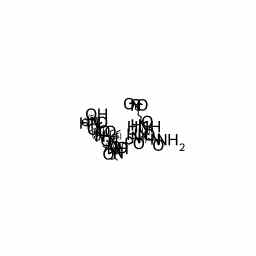 CC[C@H](C)[C@@H](C(CC(=O)N1CCC[C@H]1[C@H](OC)[C@@H](C)C(=O)N[C@H](C)[C@@H](O)c1ccccc1)OC)N(C)C(=O)[C@@H](NC(=O)C(C(C)C)N(C)C(=O)OCc1ccc(NC(=O)[C@@H](CCCNC(N)=O)NC(=O)[C@@H](NC(=O)CCCCCN2C(=O)C=CC2=O)C(C)C)cc1)C(C)C